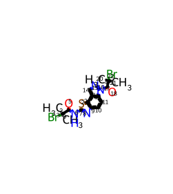 CC(C)(Br)C(=O)Nc1nc2ccc3c(cnn3C(=O)C(C)(C)Br)c2s1